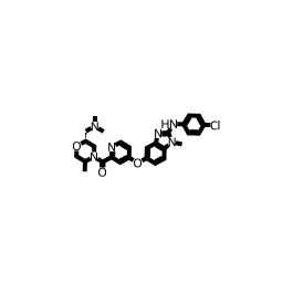 CC1CO[C@H](CN(C)C)CN1C(=O)c1cc(Oc2ccc3c(c2)nc(Nc2ccc(Cl)cc2)n3C)ccn1